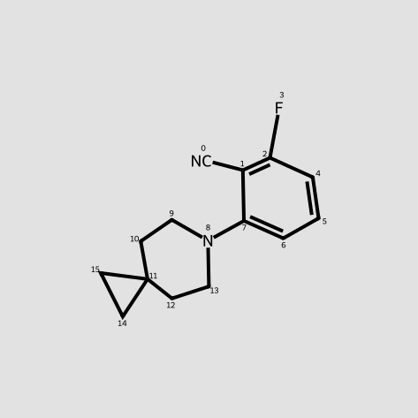 N#Cc1c(F)cccc1N1CCC2(CC1)CC2